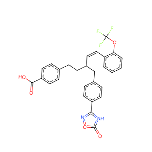 O=C(O)c1ccc(CCC(/C=C\c2ccccc2OC(F)(F)F)Cc2ccc(-c3noc(=O)[nH]3)cc2)cc1